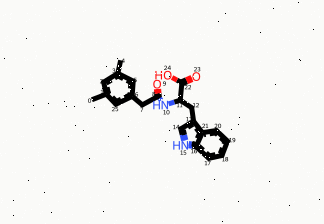 Cc1cc(C)cc(CC(=O)NC(Cc2c[nH]c3ccccc23)C(=O)O)c1